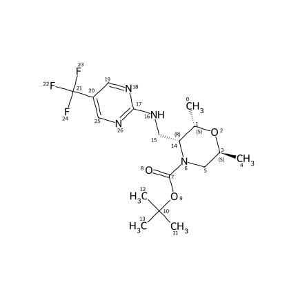 C[C@@H]1O[C@@H](C)CN(C(=O)OC(C)(C)C)[C@@H]1CNc1ncc(C(F)(F)F)cn1